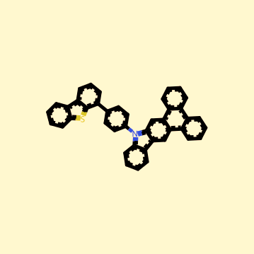 c1ccc2c(c1)sc1c(-c3ccc(-n4c5ccccc5c5cc6c7ccccc7c7ccccc7c6cc54)cc3)cccc12